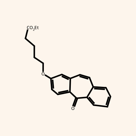 CCOC(=O)CCCCOc1ccc2c(=O)c3ccccc3ccc2c1